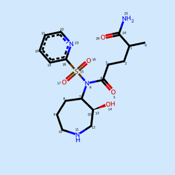 CC(C[CH]C(=O)N(C1CCCNC[C@@H]1O)S(=O)(=O)c1ccccn1)C(N)=O